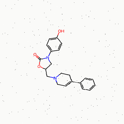 O=C1OC(CN2CC=C(c3ccccc3)CC2)CN1c1ccc(O)cc1